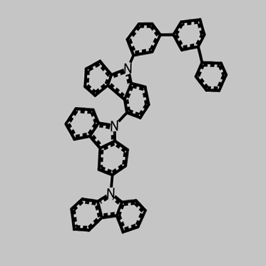 c1ccc(-c2cccc(-c3cccc(-n4c5ccccc5c5c(-n6c7ccccc7c7cc(-n8c9ccccc9c9ccccc98)ccc76)cccc54)c3)c2)cc1